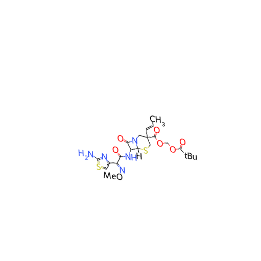 CC=CC1(C(=O)OCOC(=O)C(C)(C)C)CS[C@@H]2C(NC(=O)C(=NOC)c3csc(N)n3)C(=O)N2C1